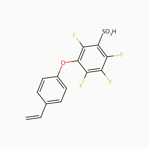 C=Cc1ccc(Oc2c(F)c(F)c(F)c(S(=O)(=O)O)c2F)cc1